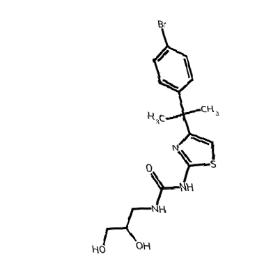 CC(C)(c1ccc(Br)cc1)c1csc(NC(=O)NCC(O)CO)n1